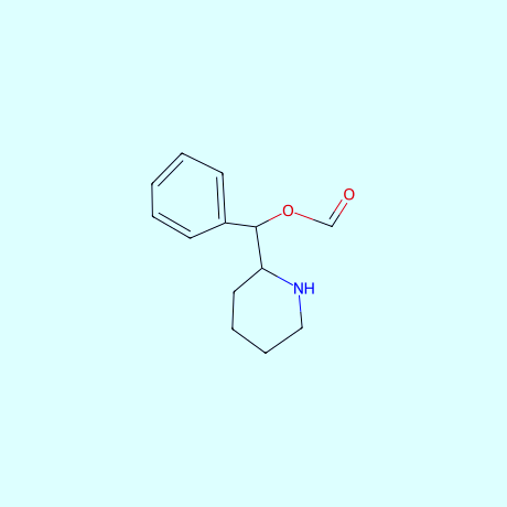 O=COC(c1ccccc1)C1CCCCN1